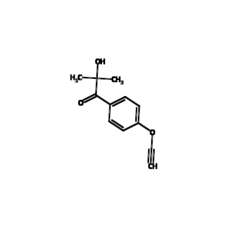 C#COc1ccc(C(=O)C(C)(C)O)cc1